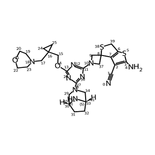 N#Cc1c(N)sc2c1C1(CN(c3nc(OCC4(CN5CCOCC5)CC4)nc(N4C[C@H]5CC[C@@H](C4)N5)n3)C1)SC2